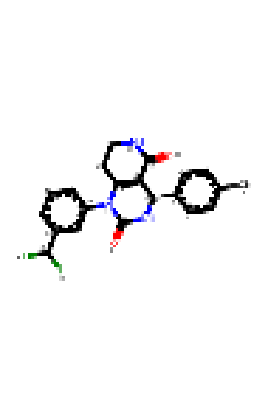 N#Cc1ccc([C@H]2NC(=O)N(c3cccc(C(F)F)c3)C3=C2C(=O)NCC3)cc1